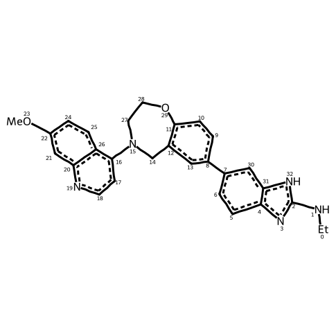 CCNc1nc2ccc(-c3ccc4c(c3)CN(c3ccnc5cc(OC)ccc35)CCO4)cc2[nH]1